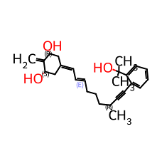 C=C1[C@H](O)CC(=C/C=C/CCC[C@@H](C)C#Cc2ccccc2C(C)(C)O)C[C@@H]1O